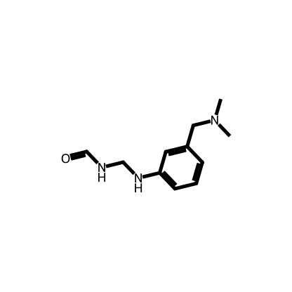 CN(C)Cc1cccc(NCNC=O)c1